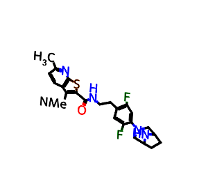 CNc1c(C(=O)NCCc2cc(F)c(N3CC4CCC(C3)N4)cc2F)sc2nc(C)ccc12